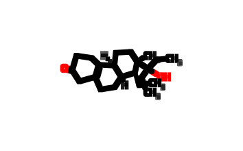 CC[C@H]1[C@@H]2CCC3=C(CCC(=O)C3)[C@H]2CC[C@]1(C)C(O)(CC)CC